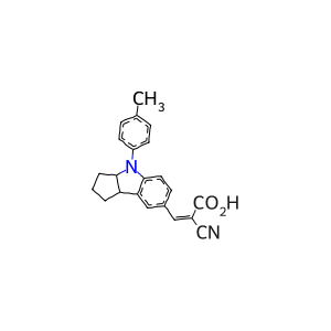 Cc1ccc(N2c3ccc(/C=C(/C#N)C(=O)O)cc3C3CCCC32)cc1